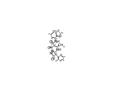 Cc1[nH]c2c(-c3ccccc3)c(C(F)(F)F)nn2c(=O)c1C(=O)Nc1cccc2c1OCC2